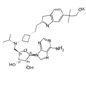 CC(C)N(C[C@H]1O[C@@H](n2cnc3c(N)ncnc32)[C@H](O)[C@@H]1O)[C@H]1C[C@@H](CCC2=Nc3cc(C(C)(C)CO)ccc3C2)C1